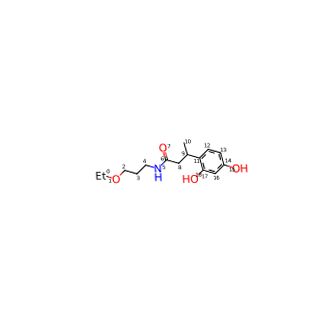 CCOCCCNC(=O)CC(C)c1ccc(O)cc1O